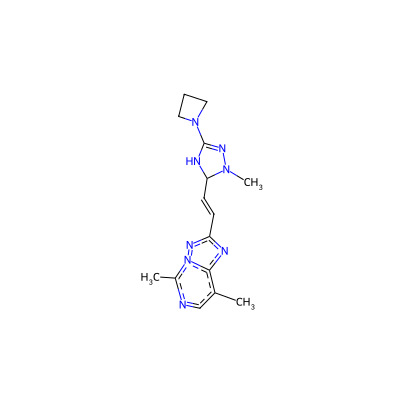 Cc1cnc(C)n2nc(/C=C/C3NC(N4CCC4)=NN3C)nc12